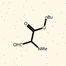 CCCCOC(=O)C(C=O)NC